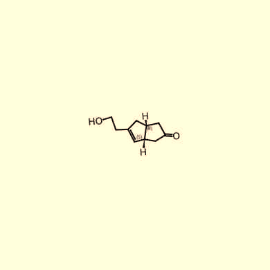 O=C1C[C@H]2CC(CCO)=C[C@H]2C1